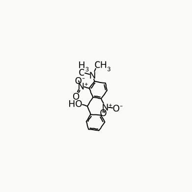 CN(C)c1ccc([N+](=O)[O-])c(C(O)c2ccccc2)c1[N+](=O)[O-]